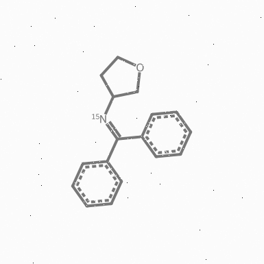 c1ccc(C(=[15N]C2CCOC2)c2ccccc2)cc1